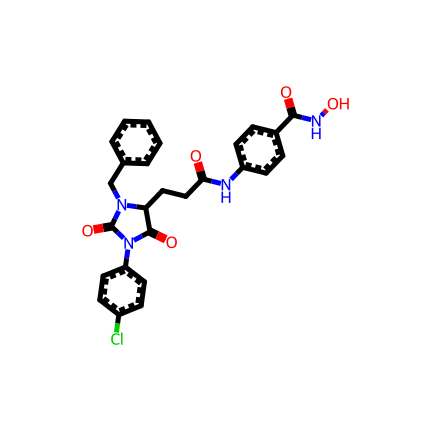 O=C(CCC1C(=O)N(c2ccc(Cl)cc2)C(=O)N1Cc1ccccc1)Nc1ccc(C(=O)NO)cc1